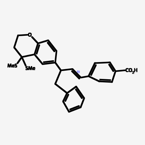 CSC1(SC)CCOc2ccc(C(/C=C/c3ccc(C(=O)O)cc3)Cc3ccccc3)cc21